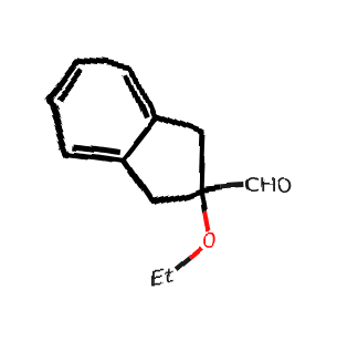 CCOC1(C=O)Cc2ccccc2C1